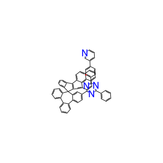 c1ccc(-c2nc(-c3ccc(-c4cccnc4)cc3)nc(-c3ccc4c(c3)C3(c5ccccc5-c5ccccc5-4)c4ccccc4-c4c3cc3ccc5cccc6ccc4c3c56)n2)cc1